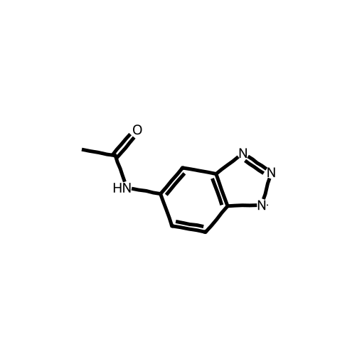 CC(=O)Nc1ccc2c(c1)N=N[N]2